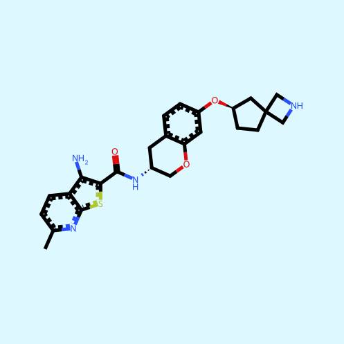 Cc1ccc2c(N)c(C(=O)N[C@H]3COc4cc(O[C@@H]5CCC6(CNC6)C5)ccc4C3)sc2n1